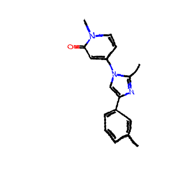 Cc1cccc(-c2cn(-c3ccn(C)c(=O)c3)c(C)n2)c1